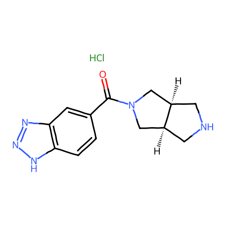 Cl.O=C(c1ccc2[nH]nnc2c1)N1C[C@H]2CNC[C@H]2C1